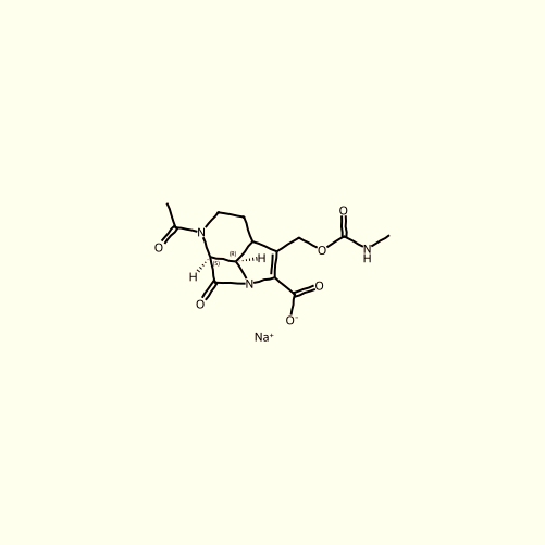 CNC(=O)OCC1=C(C(=O)[O-])N2C(=O)[C@@H]3[C@H]2C1CCN3C(C)=O.[Na+]